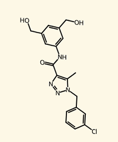 Cc1c(C(=O)Nc2cc(CO)cc(CO)c2)nnn1Cc1cccc(Cl)c1